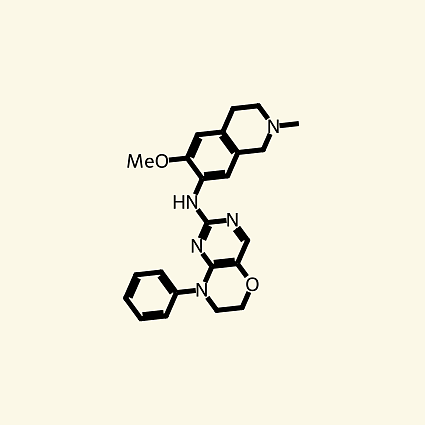 COc1cc2c(cc1Nc1ncc3c(n1)N(c1ccccc1)CCO3)CN(C)CC2